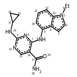 CCn1ccc2c(Nc3nc(NC4CC4)ncc3C(N)=O)cccc21